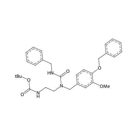 COc1cc(CN(CCNC(=O)OC(C)(C)C)C(=O)NCc2ccccc2)ccc1OCc1ccccc1